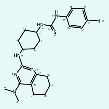 CN(C)c1nc(NC2CCC(NC(=S)Nc3ccc(I)cc3)CC2)nc2c1CCCC2